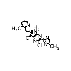 Cc1cnn(-c2nc(N)c(C(=O)NCc3ncccc3C)nc2Cl)n1